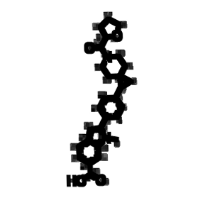 Cn1c(-c2ccc(C3CC34CCN(C(=O)C3CCCO3)CC4)cc2)cc2ccc(C(=O)O)cc21